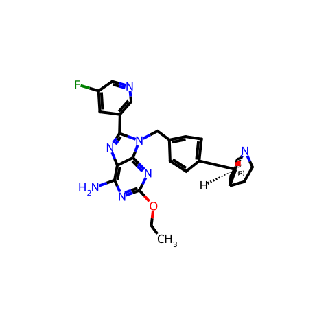 CCOc1nc(N)c2nc(-c3cncc(F)c3)n(Cc3ccc([C@@H]4CN5CCC4CC5)cc3)c2n1